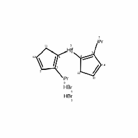 Br.Br.CC(C)C1=[C]([Hf][C]2=C(C(C)C)C=CC2)CC=C1